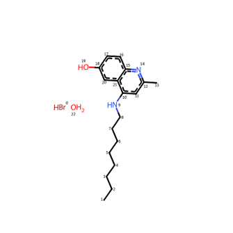 Br.CCCCCCCCNc1cc(C)nc2ccc(O)cc12.O